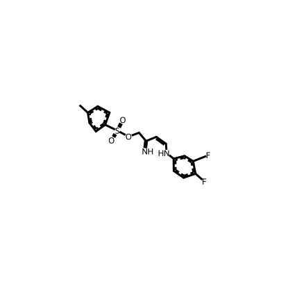 Cc1ccc(S(=O)(=O)OCC(=N)/C=C\Nc2ccc(F)c(F)c2)cc1